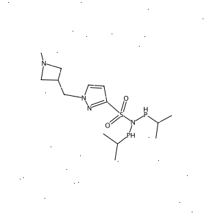 CC(C)PN(PC(C)C)S(=O)(=O)c1ccn(CC2CN(C)C2)n1